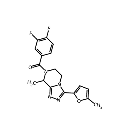 Cc1ccc(-c2nnc3n2CCN(C(=O)c2ccc(F)c(F)c2)C3C)o1